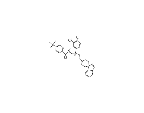 CN(C[C@@H](CCN1CCC2(C=Cc3ccccc32)CC1)c1ccc(Cl)c(Cl)c1)C(=O)c1ccc(C(C)(C)C)cc1